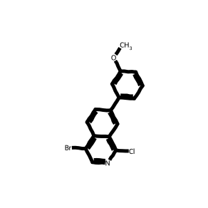 COc1cccc(-c2ccc3c(Br)cnc(Cl)c3c2)c1